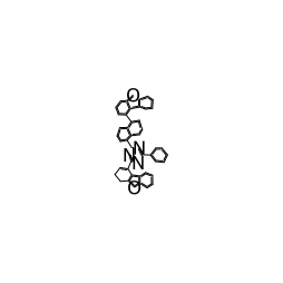 C1=C(c2nc(-c3ccccc3)nc(-c3cccc4c(-c5cccc6oc7ccccc7c56)cccc34)n2)c2c(oc3ccccc23)CC1